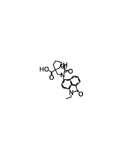 CCN1C(=O)c2cccc3c(N(CC4(C(=O)O)CCCC4)[SH](=O)=O)ccc1c23